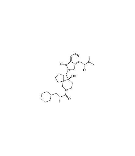 C[C@H](CC1CCCCC1)C(=O)N1CC[C@@](O)(CN2Cc3c(C(=O)N(C)C)cccc3C2=O)C2(CCCC2)C1